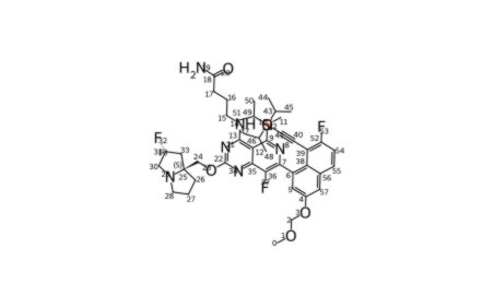 COCOc1cc(-c2nc(OC)c3c(NCCCC(N)=O)nc(OC[C@@]45CCCN4C[C@H](F)C5)nc3c2F)c2c(C#C[Si](C(C)C)(C(C)C)C(C)C)c(F)ccc2c1